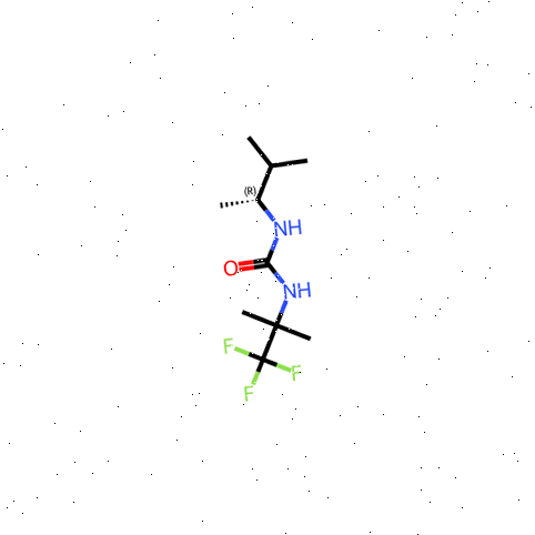 CC(C)[C@@H](C)NC(=O)NC(C)(C)C(F)(F)F